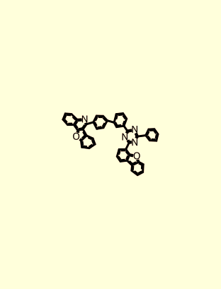 c1ccc(-c2nc(-c3cccc(-c4ccc(-c5nc6ccccc6c6oc7ccccc7c56)cc4)c3)nc(-c3cccc4c3oc3ccccc34)n2)cc1